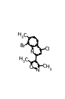 Cc1ccc2c(Cl)cc(-c3c(C)noc3C)nc2c1Br